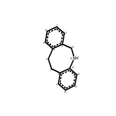 c1ccc2c(c1)CCc1ccccc1NC2